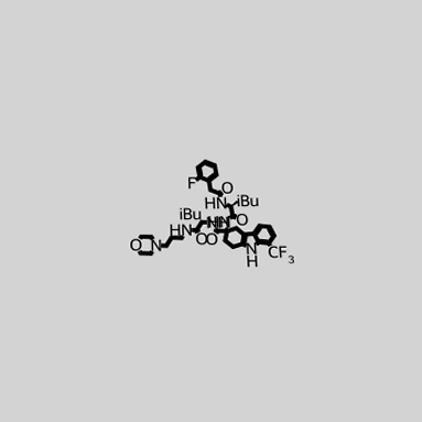 CCC(C)[C@H](NC(=O)Cc1ccccc1F)C(=O)N[C@]1(C(=O)NC(C(=O)NCCCN2CCOCC2)[C@@H](C)CC)CCc2[nH]c3c(C(F)(F)F)cccc3c2C1